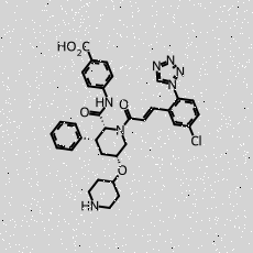 O=C(O)c1ccc(NC(=O)[C@H]2[C@@H](c3ccccc3)C[C@@H](OC3CCNCC3)CN2C(=O)/C=C/c2cc(Cl)ccc2-n2cnnn2)cc1